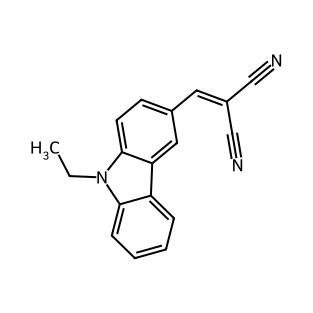 CCn1c2ccccc2c2cc(C=C(C#N)C#N)ccc21